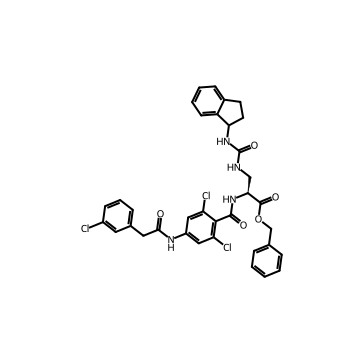 O=C(Cc1cccc(Cl)c1)Nc1cc(Cl)c(C(=O)N[C@@H](CNC(=O)NC2CCc3ccccc32)C(=O)OCc2ccccc2)c(Cl)c1